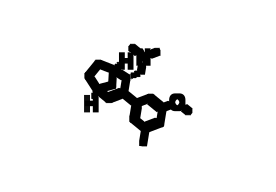 COc1cc(C)cc(C2=C[C@H]3CC[C@H](C3)[C@@H]2CN(C)C)c1